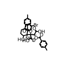 Cc1ccc(C(=O)O[C@H](C(=O)O)[C@](OC(=O)c2ccc(C)cc2)(C(=O)O)C2(N)c3cc(Br)ccc3CCC2O)cc1